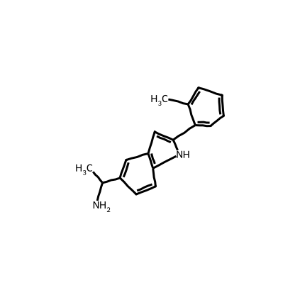 Cc1ccccc1-c1cc2cc(C(C)N)ccc2[nH]1